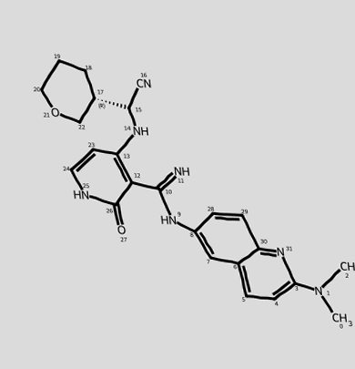 CN(C)c1ccc2cc(NC(=N)c3c(NC(C#N)[C@H]4CCCOC4)cc[nH]c3=O)ccc2n1